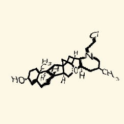 C[C@H]1C[C@H]2O[C@@]34CC[C@H]5[C@@H]6CCC7=C[C@@H](O)CC[C@]7(C)[C@H]6CC56CC63C[C@@H]4C2N(CCCl)C1